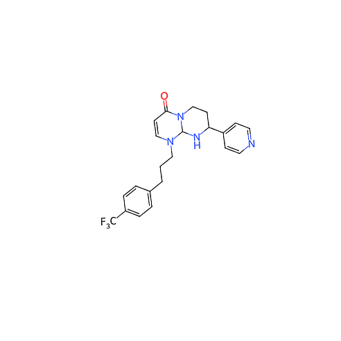 O=C1C=CN(CCCc2ccc(C(F)(F)F)cc2)C2NC(c3ccncc3)CCN12